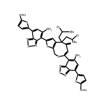 C=C1/C=C(/c2c(N)cc(-c3ccc(CCCCCC)s3)c3nsnc23)SCc2sc(-c3c(N)cc(-c4ccc(CCCCCC)s4)c4nsnc34)cc2C1(CC(CC)CCCC)CC(CC)CCCC